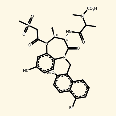 COc1ccc2c(Br)cccc2c1CN1C(=O)[C@@H](NC(=O)C(C)N(C)C(=O)O)[C@H](C)N(C(=O)CS(C)(=O)=O)c2cc(C#N)ccc21